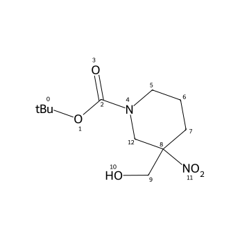 CC(C)(C)OC(=O)N1CCCC(CO)([N+](=O)[O-])C1